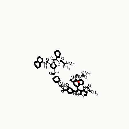 CN[C@@H](C)C(=O)N[C@H](C(=O)N1C[C@@H](NC(=O)[C@H]2CC[C@H](CNC(=O)c3ccc(-c4[nH]c5ncc6c(c5c4-c4ccc5c(cnn5C(C)C)c4)n([C@@H]4CC[C@@H](NC(=O)OC)C4)c(=O)n6C)cc3OC)CC2)C[C@H]1C(=O)N[C@@H]1CCCc2ccccc21)C1CCCCC1